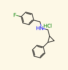 Cl.Fc1ccc(CNCC2CC2c2ccccc2)cc1